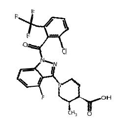 C[C@H]1CN(c2nn(C(=O)c3c(Cl)cccc3C(F)(F)F)c3cccc(F)c23)CC[C@H]1C(=O)O